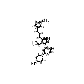 C=Cc1c([C@H]2C=C(N3CCN(CC)CC3)N=CN2)n[nH]c1CCCc1cnn(C)c1